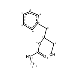 CNC(=O)OC(CO)Cc1ccccc1